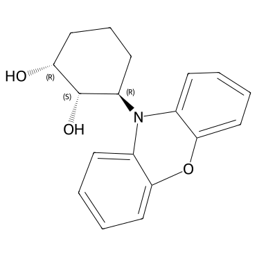 O[C@@H]1[C@H](O)CCC[C@H]1N1c2ccccc2Oc2ccccc21